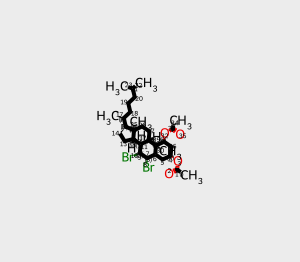 CC(=O)O[C@@H]1CC2[C@H](Br)[C@@H](Br)[C@H]3[C@@H]4CC[C@H]([C@H](C)CCCC(C)C)[C@@]4(C)CC[C@@H]3[C@@]2(C)[C@@H](OC(C)=O)C1